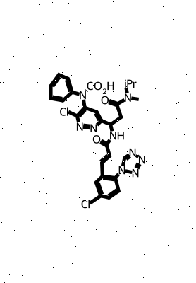 CC(C)N(C)C(=O)CC(NC(=O)C=Cc1cc(Cl)ccc1-n1cnnn1)c1cc(N(C(=O)O)c2ccccc2)c(Cl)nn1